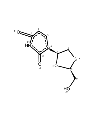 O=c1ccn([C@H]2CS[C@@H](CO)O2)c(=O)[nH]1